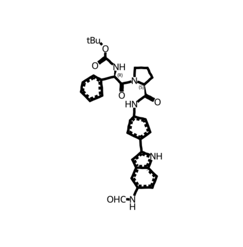 CC(C)(C)OC(=O)N[C@@H](C(=O)N1CCC[C@H]1C(=O)Nc1ccc(-c2cc3cc(NC=O)ccc3[nH]2)cc1)c1ccccc1